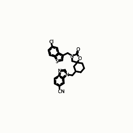 N#Cc1ccc2ncn(CC3CCCC4(C3)CN(Cc3csc5ccc(Cl)cc35)C(=O)O4)c2c1